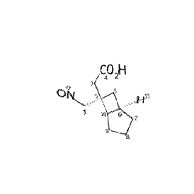 O=NC[C@]1(CC(=O)O)C[C@H]2CCCC21